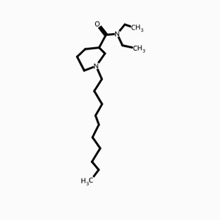 CCCCCCCCCCN1CCCC(C(=O)N(CC)CC)C1